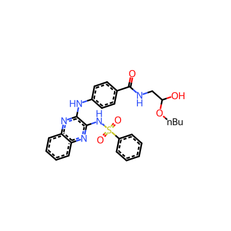 CCCCOC(O)CNC(=O)c1ccc(Nc2nc3ccccc3nc2NS(=O)(=O)c2ccccc2)cc1